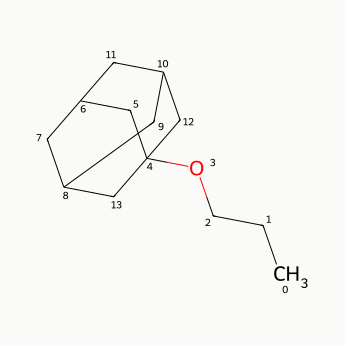 CCCOC12CC3CC(CC(C3)C1)C2